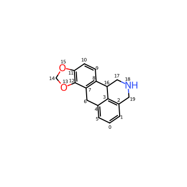 c1cc2c3c(c1)Cc1c(ccc4c1OCO4)C3CNC2